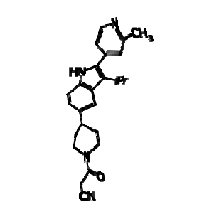 Cc1cc(-c2[nH]c3ccc(C4CCN(C(=O)CC#N)CC4)cc3c2C(C)C)ccn1